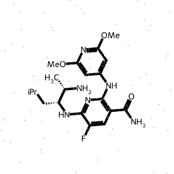 COc1cc(Nc2nc(N[C@H](CC(C)C)[C@H](C)N)c(F)cc2C(N)=O)cc(OC)n1